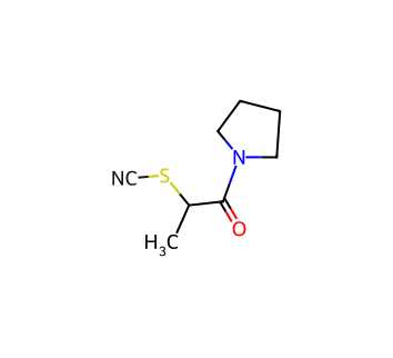 CC(SC#N)C(=O)N1CCCC1